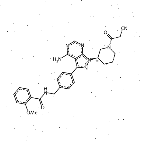 COc1ccccc1C(=O)NCc1ccc(-c2nn([C@@H]3CCCN(C(=O)CC#N)C3)c3ncnc(N)c23)cc1